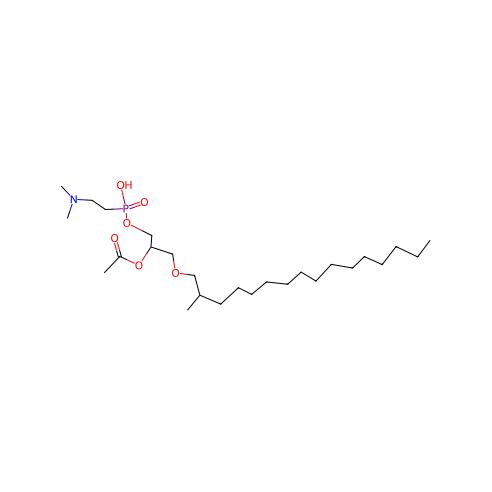 CCCCCCCCCCCCCCC(C)COCC(COP(=O)(O)CCN(C)C)OC(C)=O